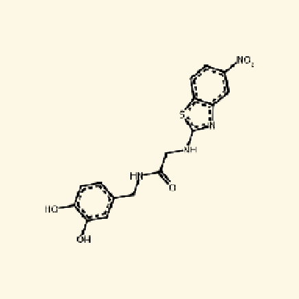 O=C(CNc1nc2cc([N+](=O)[O-])ccc2s1)NCc1ccc(O)c(O)c1